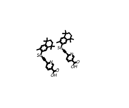 Cc1cc2c(cc1[Se]C#Cc1ccc(C(=O)O)cn1)C(C)(C)CCC2(C)C.Cc1cc2c(cc1[Se]C#Cc1ccc(C(=O)O)cn1)C(C)(C)CCC2(C)C